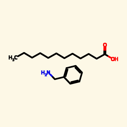 CCCCCCCCCCCC(=O)O.NCc1ccccc1